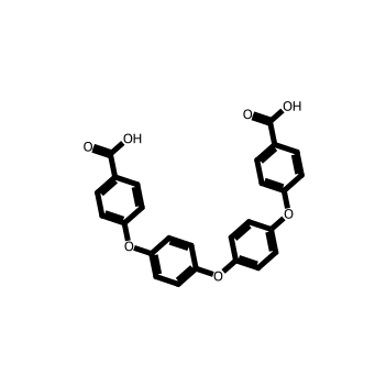 O=C(O)c1ccc(Oc2ccc(Oc3ccc(Oc4ccc(C(=O)O)cc4)cc3)cc2)cc1